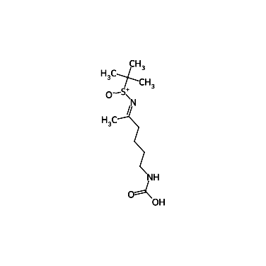 C/C(CCCCNC(=O)O)=N\[S+]([O-])C(C)(C)C